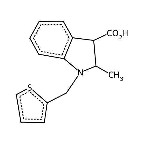 CC1C(C(=O)O)c2ccccc2N1Cc1cccs1